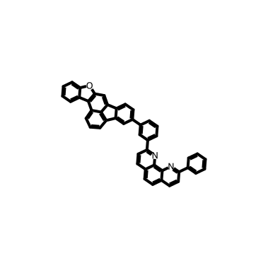 c1ccc(-c2ccc3ccc4ccc(-c5cccc(-c6ccc7c(c6)-c6cccc8c6c-7cc6oc7ccccc7c68)c5)nc4c3n2)cc1